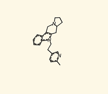 Cc1ccc(CCn2c3c(c4ccccc42)CN2CCCC2C3)cn1